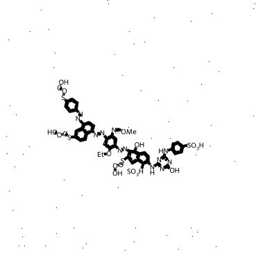 CCOc1cc(N=Nc2ccc(N=Nc3ccc(SOOO)cc3)c3cc(SOOO)ccc23)c(/N=C\OC)cc1N=Nc1c(SOOO)cc2c(S(=O)(=O)O)c(Nc3nc(O)nc(Nc4ccc(S(=O)(=O)O)cc4)n3)ccc2c1O